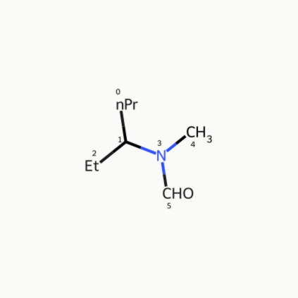 CCCC(CC)N(C)C=O